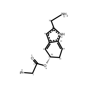 CC(C)CC(=O)O[C@@H]1C=c2cc(CN)[nH]c2=CC1